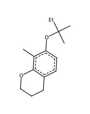 CCC(C)(C)Oc1ccc2c(c1C)OCCC2